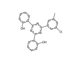 Cc1cc(Cl)cc(-c2nc(-c3ccccc3O)nc(-c3ccccc3O)n2)c1